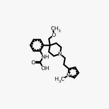 COCC1(c2ccccc2NC(=O)O)CCN(CCc2cccn2C)CC1